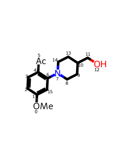 COc1ccc(C(C)=O)c(N2CCC(CO)CC2)c1